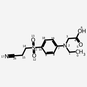 CCN(CC(=O)O)c1ccc(S(=O)(=O)CCC#N)cc1